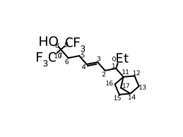 CCC(CC=CCCC(O)(C(F)(F)F)C(F)(F)F)C12CCC(CC1)C2